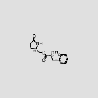 N[C@@H](Cc1ccccc1)C(=O)OC[C@H]1CCC(=O)N1